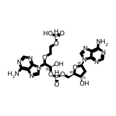 Nc1ncnc2c1ncn2C(OCCO[PH](=O)O)[C@H](O)O[PH](=O)OC[C@H]1O[C@@H](n2cnc3c(N)ncnc32)C[C@@H]1O